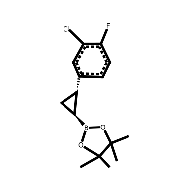 CC1(C)OB([C@H]2C[C@@H]2c2ccc(F)c(Cl)c2)OC1(C)C